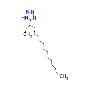 CCCCCCCCCCCCCC(CC)c1nnn[nH]1